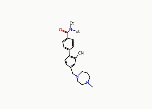 CCN(CC)C(=O)c1ccc(-c2ccc(CN3CCCN(C)CC3)cc2C#N)cc1